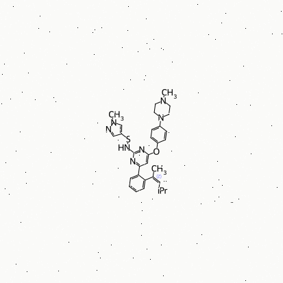 C/C(=C/C(C)C)c1ccccc1-c1cc(Oc2ccc(N3CCN(C)CC3)cc2)nc(NSc2cnn(C)c2)n1